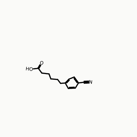 N#Cc1ccc(CCCCCC(=O)O)cc1